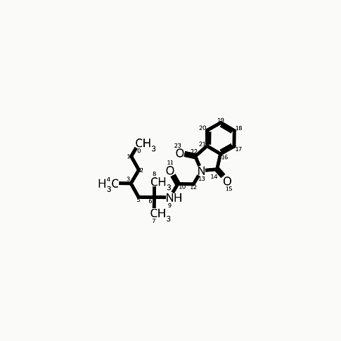 CCCC(C)CC(C)(C)NC(=O)CN1C(=O)c2ccccc2C1=O